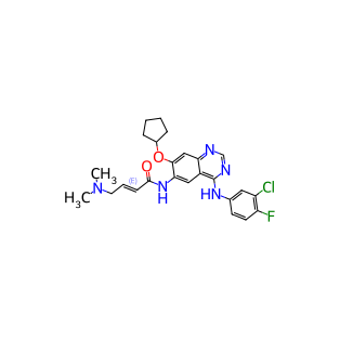 CN(C)C/C=C/C(=O)Nc1cc2c(Nc3ccc(F)c(Cl)c3)ncnc2cc1OC1CCCC1